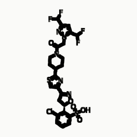 O=C(Cn1nc(C(F)F)cc1C(F)F)N1CCC(c2nc(C3=NO[C@H](c4c(Cl)cccc4S(=O)(=O)O)C3)cs2)CC1